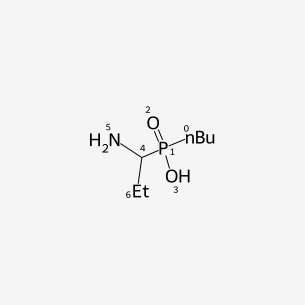 CCCCP(=O)(O)C(N)CC